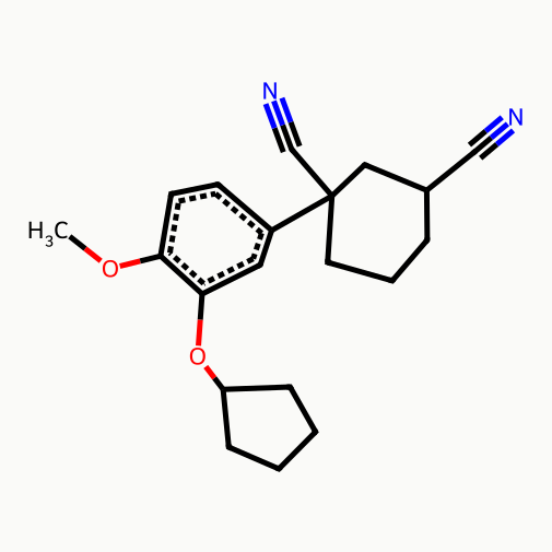 COc1ccc(C2(C#N)CCCC(C#N)C2)cc1OC1CCCC1